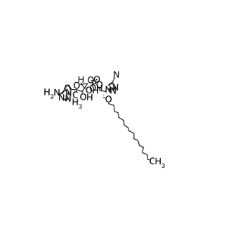 CCCCCCCCCCCCCCCCCCOC[C@H](COP(=O)(O)OC1[C@H]2O[C@@](C)(c3ccc4c(N)ncnn34)[C@H](O)[C@@]12O)n1cc(C#N)nn1